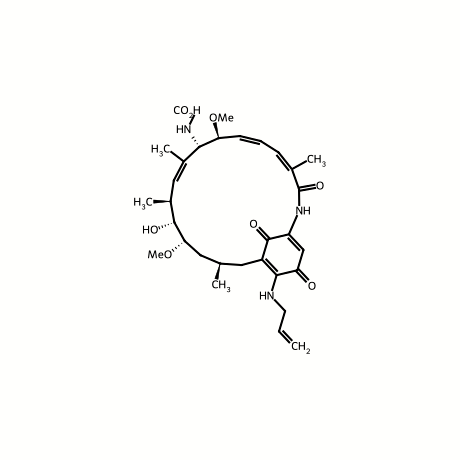 C=CCNC1=C2C[C@@H](C)C[C@H](OC)[C@H](O)[C@@H](C)C=C(C)[C@H](NC(=O)O)[C@@H](OC)C=CC=C(C)C(=O)NC(=CC1=O)C2=O